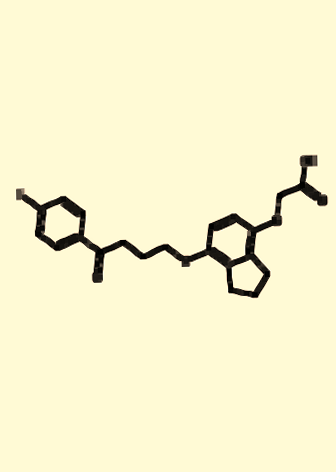 O=C(O)COc1ccc(SCCCC(=O)c2ccc(F)cc2)c2c1CCC2